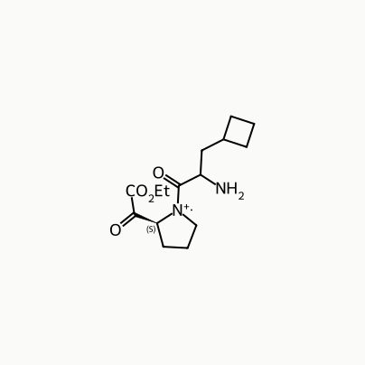 CCOC(=O)C(=O)[C@@H]1CCC[N+]1C(=O)C(N)CC1CCC1